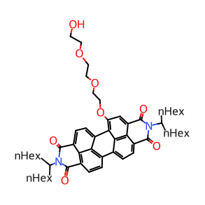 CCCCCCC(CCCCCC)N1C(=O)c2ccc3c4ccc5c6c(cc(OCCOCCOCCO)c(c7ccc(c2c37)C1=O)c64)C(=O)N(C(CCCCCC)CCCCCC)C5=O